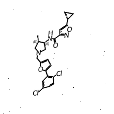 C[C@@H]1CN(Cc2ccc(-c3cc(Cl)ccc3Cl)o2)C[C@@H]1NC(=O)c1cc(C2CC2)on1